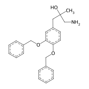 CC(O)(CN)Cc1ccc(OCc2ccccc2)c(OCc2ccccc2)c1